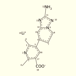 Cc1nc(C)c(-c2ccn3nc(N)nc3c2)cc1C(=O)[O-].[Li+]